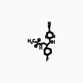 CS(=O)(=O)NCC(Nc1ncc(C#N)cn1)c1ccc(F)cc1